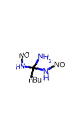 CCCCC(N)(NN=O)NN=O